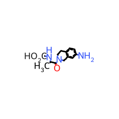 CC(NC(=O)O)C(=O)N1CCc2ccc(N)cc2C1